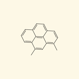 Cc1cc2c(C)ccc3ccc4cccc1c4c32